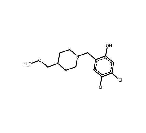 COCC1CCN(Cc2cc(Cl)c(Cl)cc2O)CC1